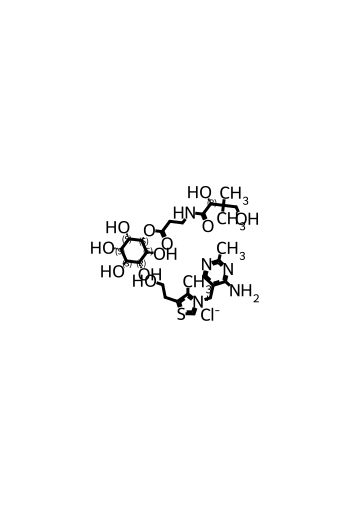 CC(C)(CO)[C@@H](O)C(=O)NCCC(=O)O[C@@H]1[C@@H](O)[C@H](O)[C@@H](O)[C@H](O)[C@@H]1O.Cc1ncc(C[n+]2csc(CCO)c2C)c(N)n1.[Cl-]